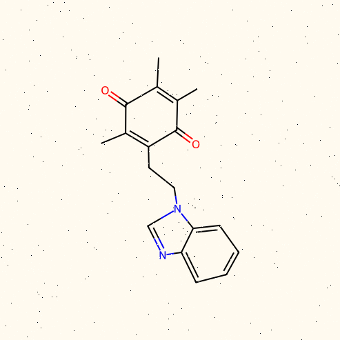 CC1=C(C)C(=O)C(CCn2cnc3ccccc32)=C(C)C1=O